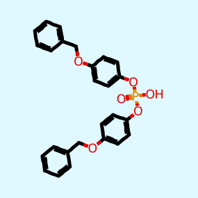 O=P(O)(Oc1ccc(OCc2ccccc2)cc1)Oc1ccc(OCc2ccccc2)cc1